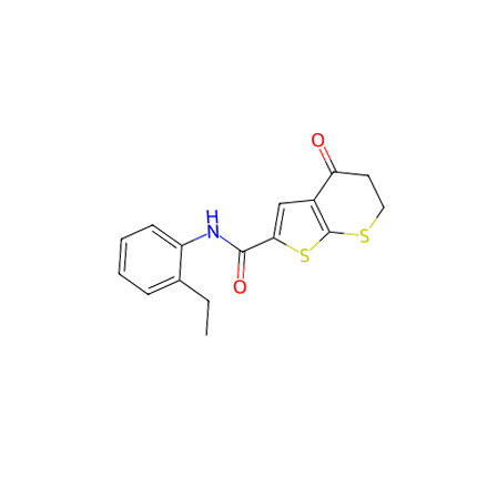 CCc1ccccc1NC(=O)c1cc2c(s1)SCCC2=O